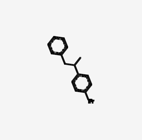 CC(C)c1ccc(C(C)Cc2ccccc2)cc1